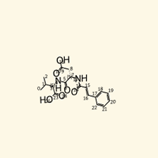 CC(C)[C@H](NC(=O)[C@H](CC(=O)O)NC(=O)C=Cc1ccccc1)C(=O)O